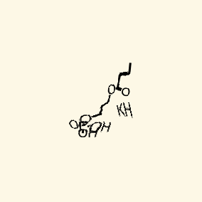 CC=CC(=O)OCCCOP(=O)(O)O.[KH]